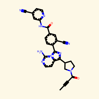 CC#CC(=O)N1CCC(c2nc(-c3ccc(C(=O)Nc4cc(C#N)ccn4)cc3C#N)n3c(N)nccc23)C1